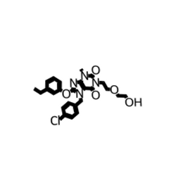 CCc1cccc(Oc2nc3c(c(=O)n(CCOCCO)c(=O)n3C)n2Cc2ccc(Cl)cc2)c1